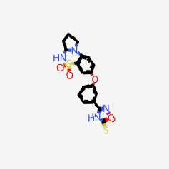 O=S1(=O)NC2CCCN2c2ccc(Oc3cccc(-c4noc(=S)[nH]4)c3)cc21